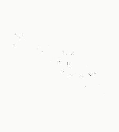 C[C@H](N(Cc1ccc(F)cc1)C(=O)CN1C(=O)O[C@@]2(CCc3cc(-c4ccc(C(N)=O)cc4)ccc32)C1=O)C(F)(F)F